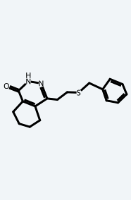 O=c1[nH]nc(CCSCc2ccccc2)c2c1CCCC2